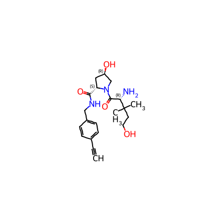 C#Cc1ccc(CNC(=O)[C@@H]2C[C@@H](O)CN2C(=O)[C@H](N)C(C)(C)CCO)cc1